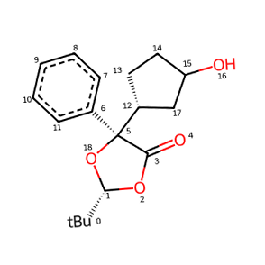 CC(C)(C)[C@H]1OC(=O)[C@](c2ccccc2)([C@@H]2CCC(O)C2)O1